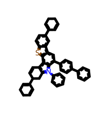 C1=CC(c2ccc3sc4c(cc(-c5ccc(-c6ccccc6)cc5)c5c4c4c(n5-c5ccccc5)CC(C5=CCCC=C5)C=C4)c3c2)=CCC1